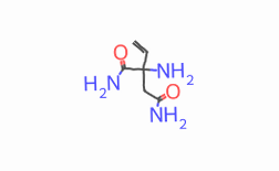 C=CC(N)(CC(N)=O)C(N)=O